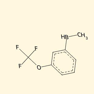 CBc1cccc(OC(F)(F)F)c1